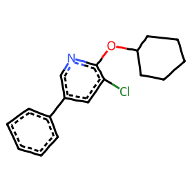 Clc1cc(-c2ccccc2)cnc1OC1CCCCC1